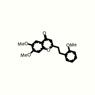 COc1ccccc1CCc1cc(=O)c2cc(OC)c(OC)cc2o1